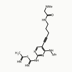 CCCNc1nc(NC(=N)SC(C)=N)ncc1C#CCCCNC(=O)CNC